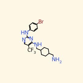 NCC1CCC(CNc2nc(Nc3ccc(Br)cc3)ncc2C(F)(F)F)CC1